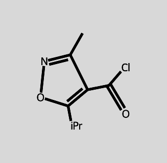 Cc1noc(C(C)C)c1C(=O)Cl